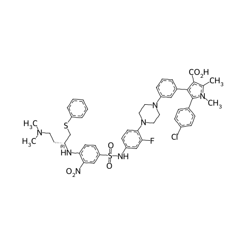 Cc1c(C(=O)O)c(-c2cccc(N3CCN(c4ccc(NS(=O)(=O)c5ccc(N[C@H](CCN(C)C)CSc6ccccc6)c([N+](=O)[O-])c5)cc4F)CC3)c2)c(-c2ccc(Cl)cc2)n1C